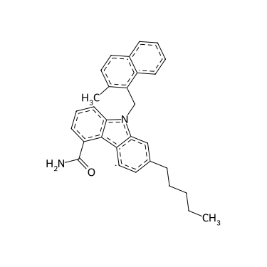 CCCCCc1c[c]c2c3c(C(N)=O)cccc3n(Cc3c(C)ccc4ccccc34)c2c1